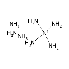 N.N.N.N[N+](N)(N)N